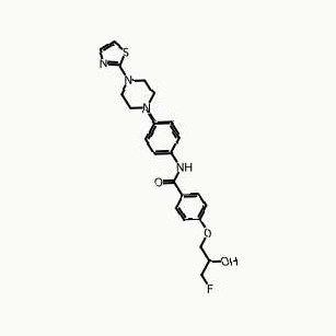 O=C(Nc1ccc(N2CCN(c3nccs3)CC2)cc1)c1ccc(OCC(O)CF)cc1